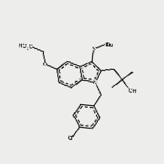 CC(C)(O)Cc1c(SC(C)(C)C)c2cc(OCC(=O)O)ccc2n1Cc1ccc(Cl)cc1